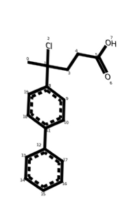 CC(Cl)(CCC(=O)O)c1ccc(-c2ccccc2)cc1